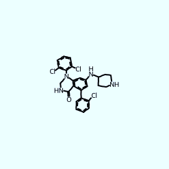 O=C1NCN(c2c(Cl)cccc2Cl)c2cc(NC3CCNCC3)cc(-c3ccccc3Cl)c21